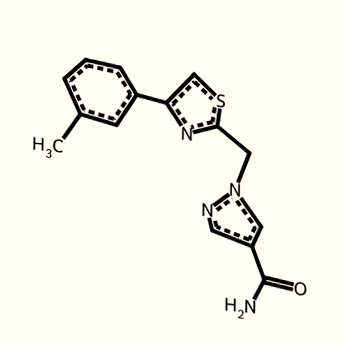 Cc1cccc(-c2csc(Cn3cc(C(N)=O)cn3)n2)c1